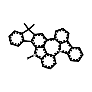 CC1(C)c2ccccc2-c2c1cc1c3cccc4c5ccccc5n(c5cccc6c5c1c2n6I)c34